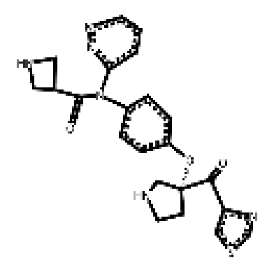 O=C(C1CNC1)N(c1ccc(O[C@]2(C(=O)c3cscn3)CCNC2)cc1)c1cccnn1